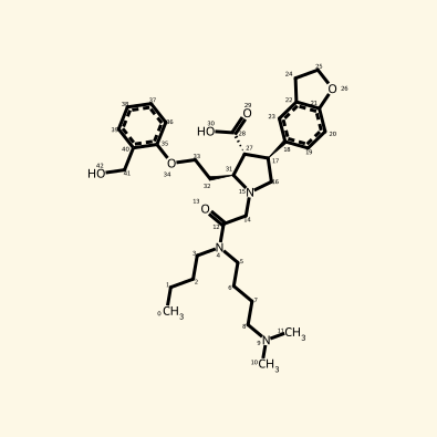 CCCCN(CCCCN(C)C)C(=O)CN1C[C@H](c2ccc3c(c2)CCO3)[C@@H](C(=O)O)[C@@H]1CCOc1ccccc1CO